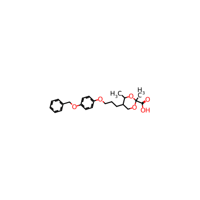 CC1OC(C)(C(=O)O)OCC1CCCOc1ccc(OCc2ccccc2)cc1